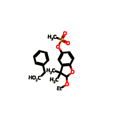 CCOC1Oc2ccc(OS(C)(=O)=O)cc2C1(C)C.O=C(O)Cc1ccccc1